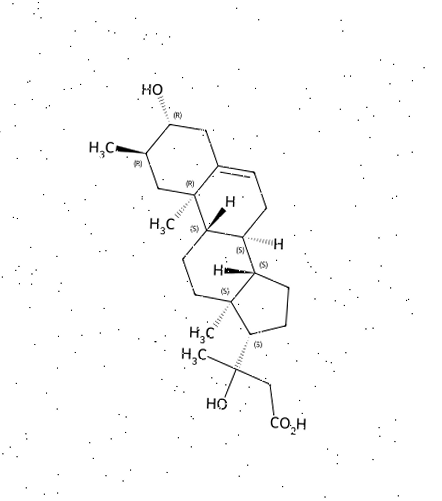 C[C@@H]1C[C@@]2(C)C(=CC[C@H]3[C@@H]4CC[C@H](C(C)(O)CC(=O)O)[C@@]4(C)CC[C@@H]32)C[C@H]1O